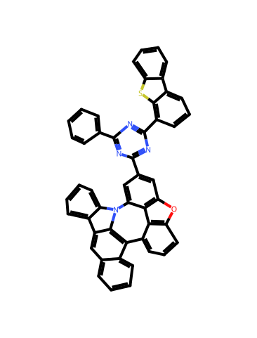 c1ccc(-c2nc(-c3cc4oc5cccc6c5c4c(c3)n3c4ccccc4c4cc5ccccc5c6c43)nc(-c3cccc4c3sc3ccccc34)n2)cc1